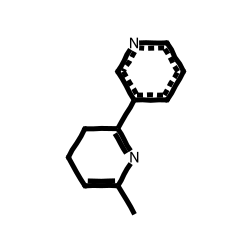 CC1=CCCC(c2cccnc2)=N1